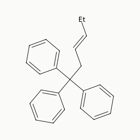 CCC=CCC(c1ccccc1)(c1ccccc1)c1ccccc1